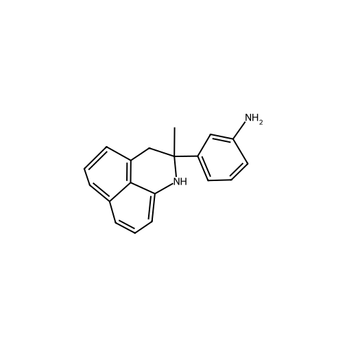 CC1(c2cccc(N)c2)Cc2cccc3cccc(c23)N1